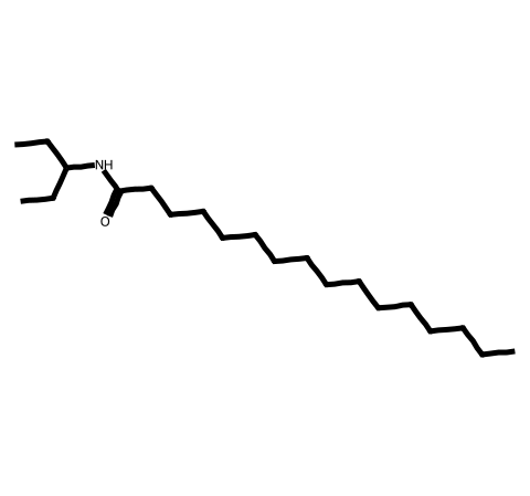 CCCCCCCCCCCCCCCC(=O)NC(CC)CC